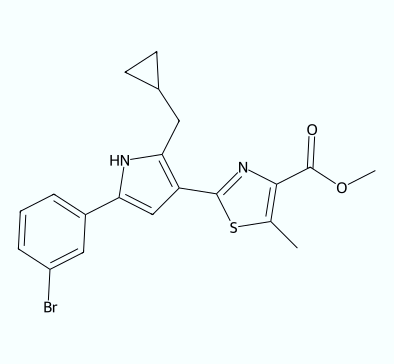 COC(=O)c1nc(-c2cc(-c3cccc(Br)c3)[nH]c2CC2CC2)sc1C